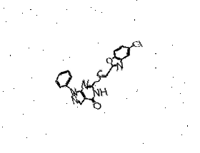 O=c1[nH]c(SCc2nc3cc(Cl)ccc3o2)nc2c1cnn2-c1ccccc1